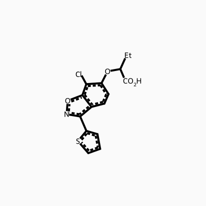 CCC(Oc1ccc2c(-c3cccs3)noc2c1Cl)C(=O)O